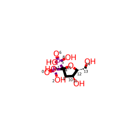 O=P(O)(O)C1(P(=O)(O)O)C[C@H](O)[C@@H](CO)O1